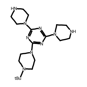 CC(C)(C)N1CCN(c2nc(N3CCNCC3)nc(N3CCNCC3)n2)CC1